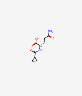 NC(=O)CC[C@H](NC(=O)C1CC1)C(=O)O